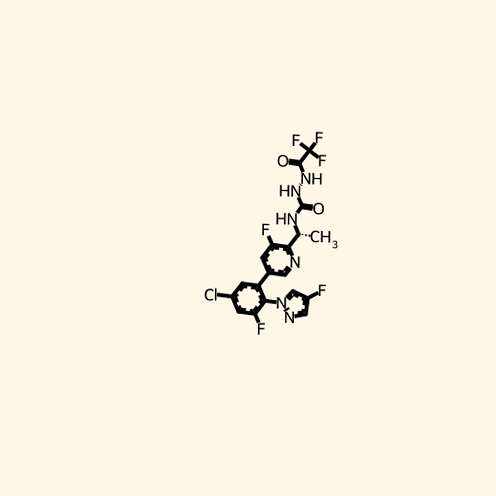 C[C@@H](NC(=O)NNC(=O)C(F)(F)F)c1ncc(-c2cc(Cl)cc(F)c2-n2cc(F)cn2)cc1F